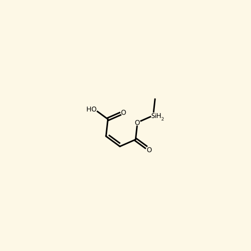 C[SiH2]OC(=O)/C=C\C(=O)O